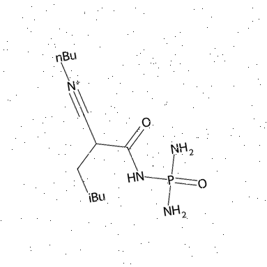 CCCC[N+]#CC(CC(C)CC)C(=O)NP(N)(N)=O